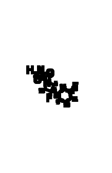 NS(=O)(=O)N1CC(F)(c2cccc(F)c2)C1